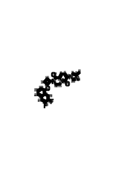 Cc1cn(-c2ccc3n(c2=O)CCN([C@@H]2CC[C@H]2Oc2cccc4cc(F)c(F)cc24)C3=O)cn1